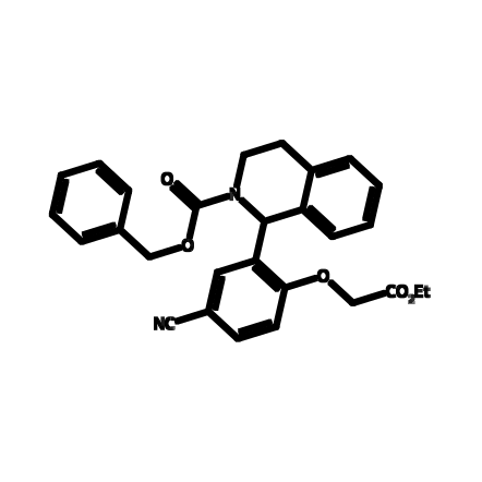 CCOC(=O)COc1ccc(C#N)cc1C1c2ccccc2CCN1C(=O)OCc1ccccc1